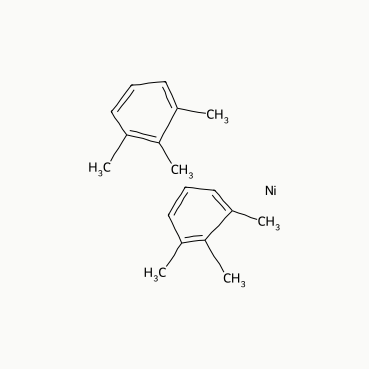 Cc1cccc(C)c1C.Cc1cccc(C)c1C.[Ni]